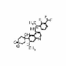 COc1cc2nccc(N[C@H](C)c3cccc(C(F)F)c3F)c2cc1C1(O)CCS(=O)(=O)CC1